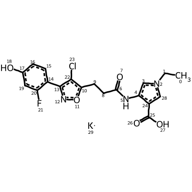 CCn1cc(NC(=O)CCc2onc(-c3ccc(O)cc3F)c2Cl)c(C(=O)O)c1.[K]